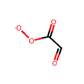 [O]OC(=O)C=O